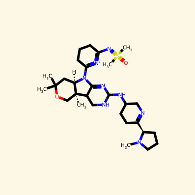 CN1CCC[C@@H]1C1=NCC(NC2N=C3C(CN2)[C@@]2(C)COC(C)(C)C[C@H]2N3C2=[N+]=C(N=S(C)(C)=O)CCC2)CC1